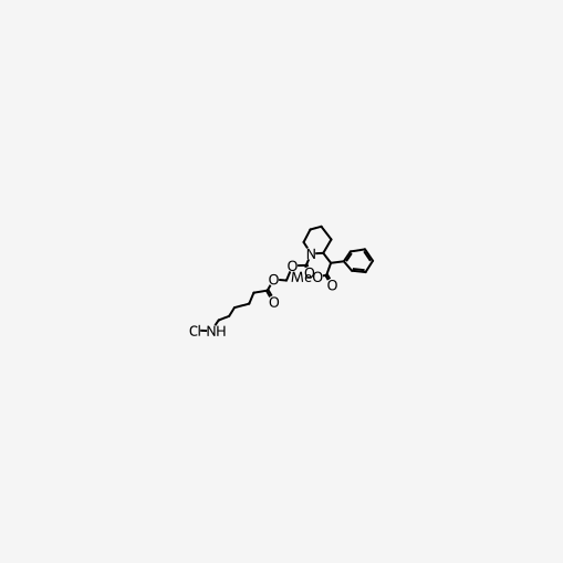 COC(=O)C(c1ccccc1)C1CCCCN1C(=O)OCOC(=O)CCCCCNCl